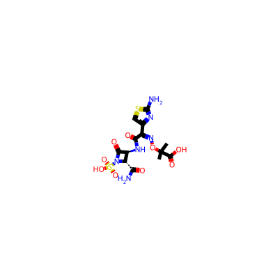 CC(C)(ON=C(C(=O)N[C@@H]1C(=O)N(S(=O)(=O)O)[C@H]1C(N)=O)c1csc(N)n1)C(=O)O